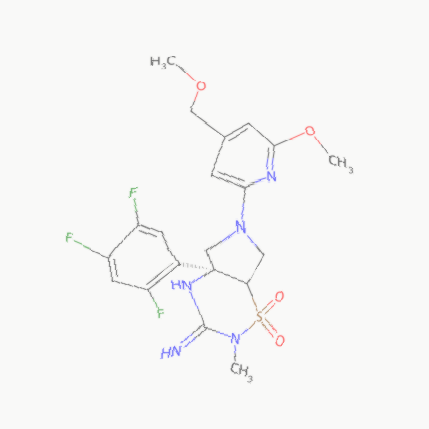 COCc1cc(OC)nc(N2CC3[C@](c4cc(F)c(F)cc4F)(C2)NC(=N)N(C)S3(=O)=O)c1